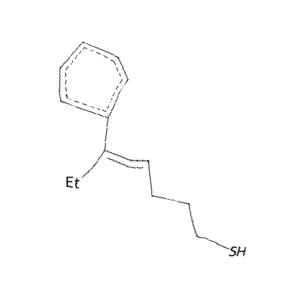 CCC(=CCCCS)c1ccccc1